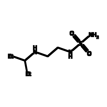 CCC(CC)NCCNS(N)(=O)=O